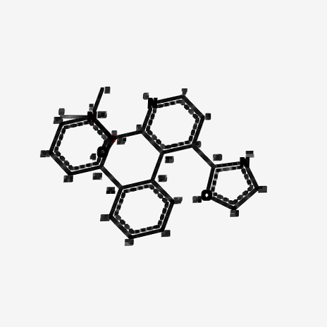 CN(C)C(=O)c1nccc(-c2ncco2)c1-c1ccccc1-c1ccccc1